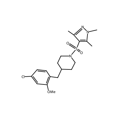 COc1cc(Cl)ccc1CC1CCN(S(=O)(=O)c2c(C)nn(C)c2C)CC1